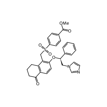 COC(=O)c1ccc(S(=O)(=O)Cc2c(O[C@H](Cn3ccnc3)c3ccccc3)ccc3c2CCCC3=O)cc1